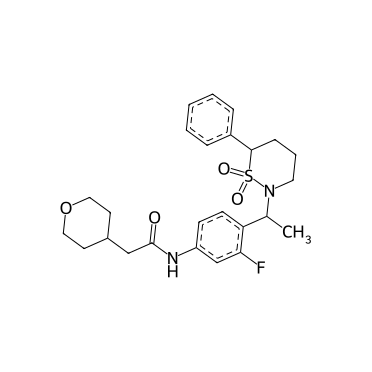 CC(c1ccc(NC(=O)CC2CCOCC2)cc1F)N1CCCC(c2ccccc2)S1(=O)=O